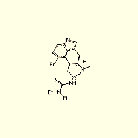 CCN(CC)C(=S)N[C@H]1CC2c3c(Br)ccc4[nH]cc(c34)C[C@H]2N(C)C1